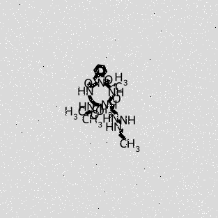 CCCCNC(=N)NCCC[C@@H]1NC(=O)[C@](C)(NC(=O)C(C)C)CCNC(=O)[C@@H](CC2CCCCC2)NC(=O)[C@H](CC)NC1=O